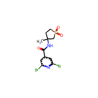 CC1(NC(=O)c2cc(Br)nc(Br)c2)CCS(=O)(=O)C1